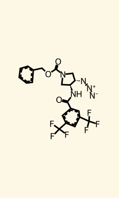 [N-]=[N+]=N[C@H]1CN(C(=O)OCc2ccccc2)C[C@@H]1NC(=O)c1cc(C(F)(F)F)cc(C(F)(F)F)c1